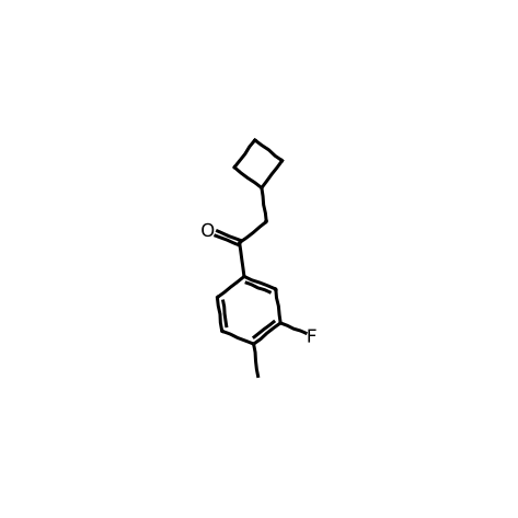 Cc1ccc(C(=O)CC2CCC2)cc1F